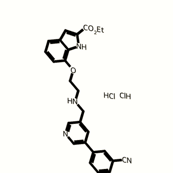 CCOC(=O)c1cc2cccc(OCCNCc3cncc(-c4cccc(C#N)c4)c3)c2[nH]1.Cl.Cl